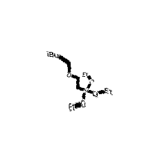 CCO[Si](CCOCC(C)CC)(OCC)OCC